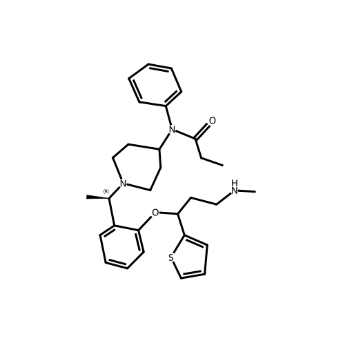 CCC(=O)N(c1ccccc1)C1CCN([C@H](C)c2ccccc2OC(CCNC)c2cccs2)CC1